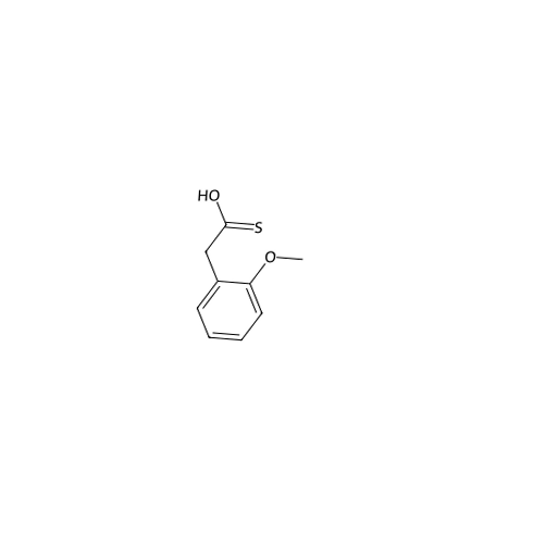 COc1ccccc1CC(O)=S